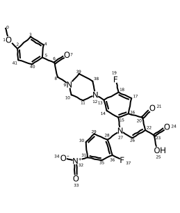 COc1ccc(C(=O)CN2CCN(c3cc4c(cc3F)c(=O)c(C(=O)O)cn4-c3ccc([N+](=O)[O-])cc3F)CC2)cc1